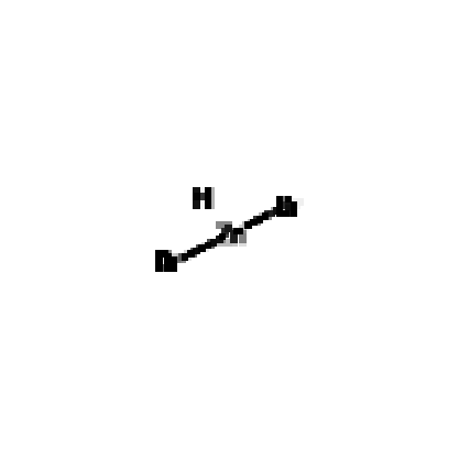 I.[Br][Zn][Br]